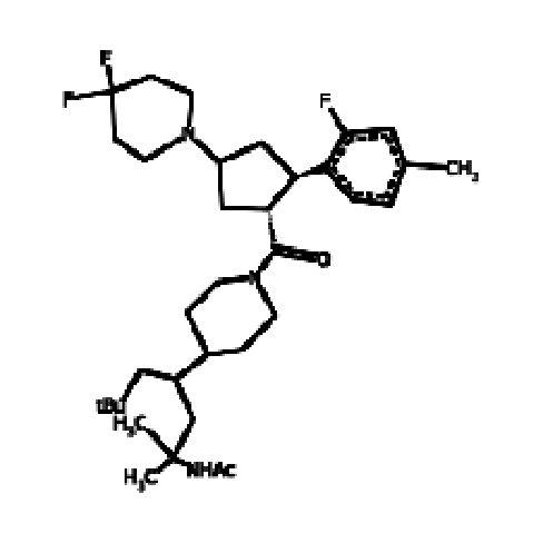 CC(=O)NC(C)(C)CC(CC(C)(C)C)C1CCN(C(=O)[C@@H]2CC(N3CCC(F)(F)CC3)C[C@H]2c2ccc(C)cc2F)CC1